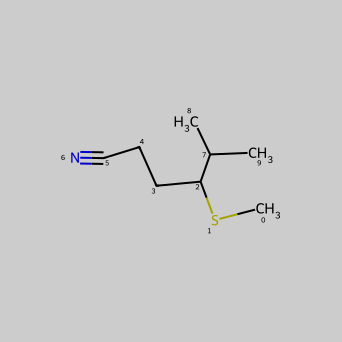 CSC(CCC#N)C(C)C